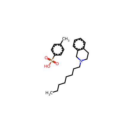 CCCCCCCCN1CCc2ccccc2C1.Cc1ccc(S(=O)(=O)O)cc1